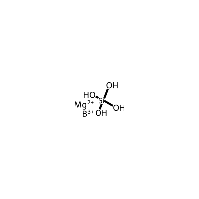 O[Si](O)(O)O.[B+3].[Mg+2]